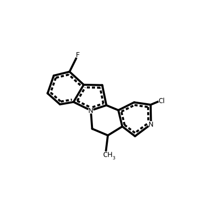 CC1Cn2c(cc3c(F)cccc32)-c2cc(Cl)ncc21